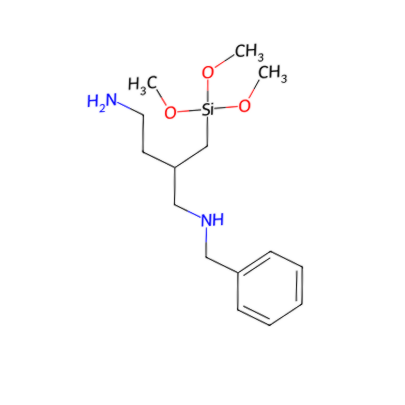 CO[Si](CC(CCN)CNCc1ccccc1)(OC)OC